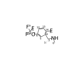 CN[C@H](C)c1cc(OC(F)(F)F)ccc1F